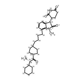 Cn1c(=O)n(C2CCC(=O)NC2=O)c2cccc(CCCCC3CCN(C(=O)[C@@H](N)C4CCCCC4)CC3)c21